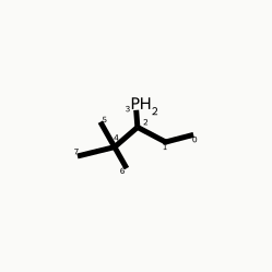 CCC(P)C(C)(C)C